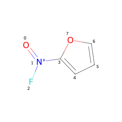 O=[N+](F)c1ccco1